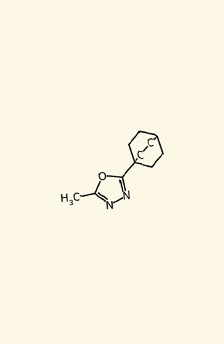 Cc1nnc(C23CCC(CC2)CC3)o1